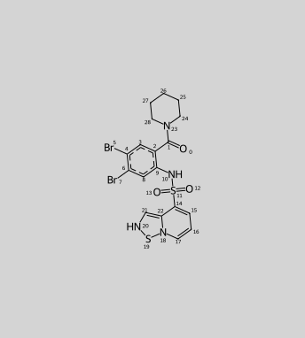 O=C(c1cc(Br)c(Br)cc1NS(=O)(=O)C1=CC=CN2SNC=C12)N1CCCCC1